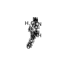 CC(Cn1cnnn1)Oc1cc(-c2cnc(Nc3cn(C4CCC(N5CCOCC5)CC4)nc3OCC3CCOCC3)nc2)ccc1C#N